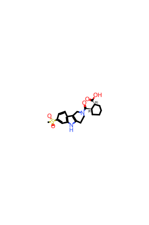 CS(=O)(=O)c1ccc2c3c([nH]c2c1)CCN(C(=O)[C@@H]1CCCC[C@H]1C(=O)O)C3